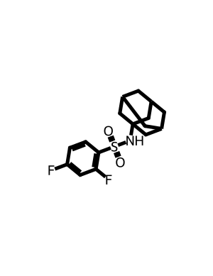 O=S(=O)(NC12CC3CC(CC(C3)C1)C2)c1ccc(F)cc1F